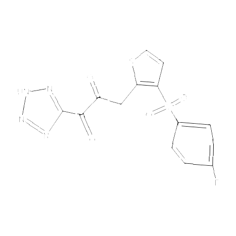 O=C(Cc1sccc1S(=O)(=O)c1ccc(F)cc1)C(=O)c1nn[nH]n1